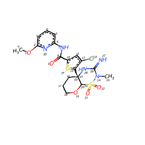 COc1cccc(NC(=O)c2cc(Cl)c([C@]34CCCOC3S(=O)(=O)N(C)C(=N)N4)s2)n1